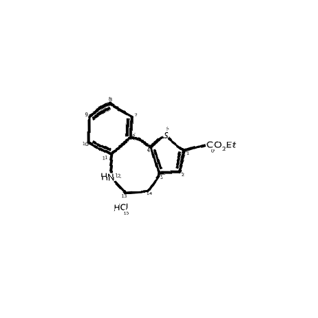 CCOC(=O)c1cc2c(s1)-c1ccccc1NCC2.Cl